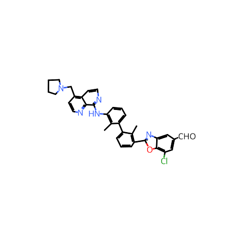 Cc1c(Nc2nccc3c(CN4CCCC4)ccnc23)cccc1-c1cccc(-c2nc3cc(C=O)cc(Cl)c3o2)c1C